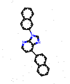 c1ccc2cc(-c3ccnc4c3ncn4-c3ccc4ccccc4c3)ccc2c1